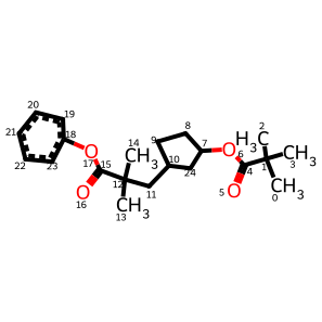 CC(C)(C)C(=O)OC1CCC(CC(C)(C)C(=O)Oc2ccccc2)C1